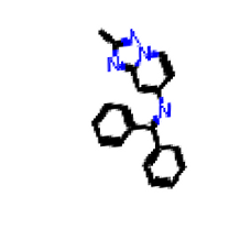 Cc1nc2cc(N=C(c3ccccc3)c3ccccc3)ccn2n1